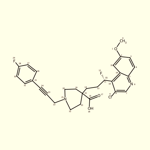 COc1ccc2ncc(Cl)c([C@@H](F)CCC3(C(=O)O)CCN(CC#Cc4ccc(F)cc4)CC3)c2c1